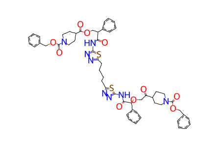 O=C(COC(C(=O)Nc1nnc(CCCCc2nnc(NC(=O)C(COC(=O)C3CCN(C(=O)OCc4ccccc4)CC3)c3ccccc3)s2)s1)c1ccccc1)C1CCN(C(=O)OCc2ccccc2)CC1